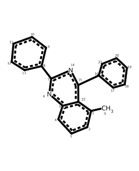 Cc1cccc2nc(-c3ccccc3)nc(-c3ccccc3)c12